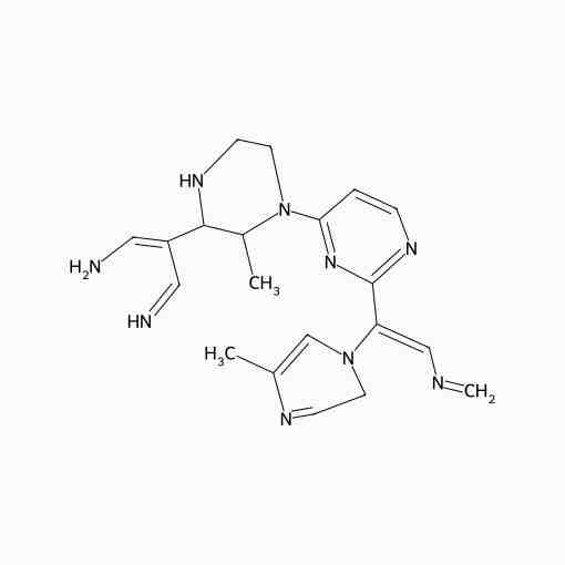 C=N/C=C(/c1nccc(N2CCNC(/C(C=N)=C/N)C2C)n1)N1C=C(C)N=CC1